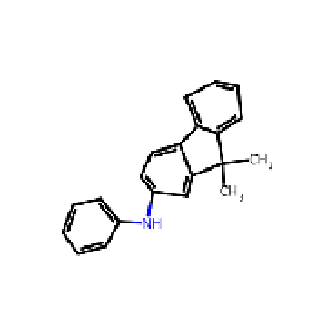 CC1(C)c2ccccc2-c2ccc(Nc3ccccc3)cc21